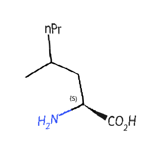 CCCC(C)C[C@H](N)C(=O)O